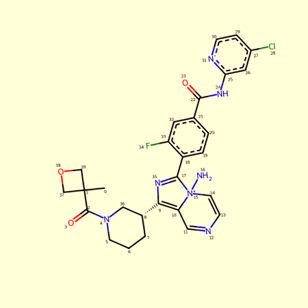 CC1(C(=O)N2CCC[C@@H](C3=C4C=NC=C[N+]4(N)C(c4ccc(C(=O)Nc5cc(Cl)ccn5)cc4F)=N3)C2)COC1